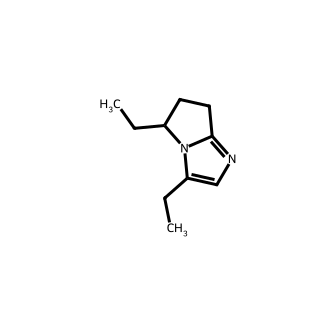 CCc1cnc2n1C(CC)CC2